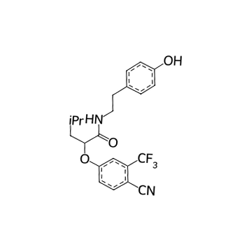 CC(C)CC(Oc1ccc(C#N)c(C(F)(F)F)c1)C(=O)NCCc1ccc(O)cc1